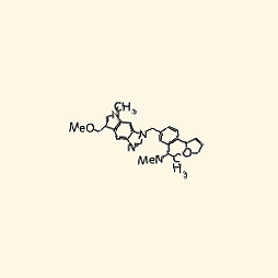 CNC(C)c1cc(Cn2cnc3cc4c(COC)cn(C)c4cc32)ccc1C1CCCO1